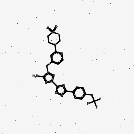 Cc1nc(-c2nc(-c3ccc(OC(F)(F)F)cc3)no2)nn1Cc1ccnc(N2CCS(=O)(=O)CC2)c1